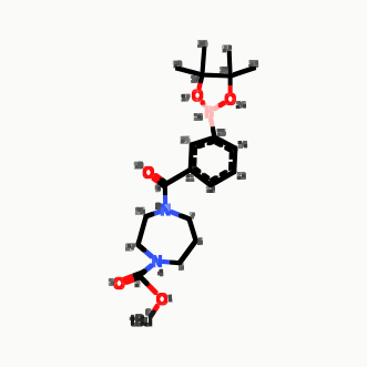 CC(C)(C)OC(=O)N1CCCN(C(=O)c2cccc(B3OC(C)(C)C(C)(C)O3)c2)CC1